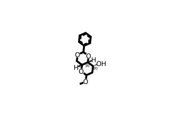 COC1C[C@@H](O)[C@H]2OC(c3ccccc3)OC[C@H]2O1